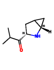 CC(C)C(=O)[C@@H]1CC2C[C@@H]2N1